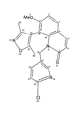 COc1ccc2ccc(=O)n(Cc3ccc(Cl)nc3)c2c1-c1c(C)noc1C